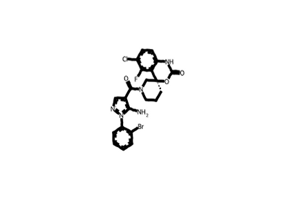 Nc1c(C(=O)N2CCC[C@@]3(C2)OC(=O)Nc2ccc(Cl)c(F)c23)cnn1-c1ccccc1Br